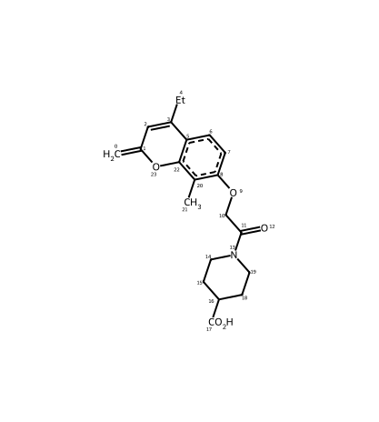 C=C1C=C(CC)c2ccc(OCC(=O)N3CCC(C(=O)O)CC3)c(C)c2O1